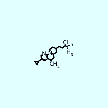 C=C1CC2CC(CCC(C)C)CCN2c2ncc(C3CC3)cc21